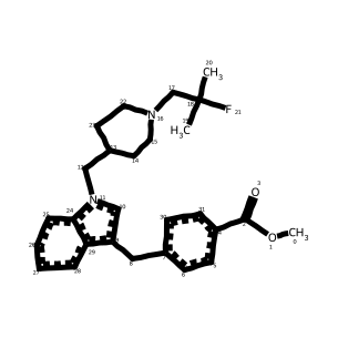 COC(=O)c1ccc(Cc2cn(CC3CCN(CC(C)(C)F)CC3)c3ccccc23)cc1